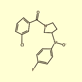 O=C(c1cccc(Cl)c1)N1CCC([S+]([O-])c2ccc(F)cc2)C1